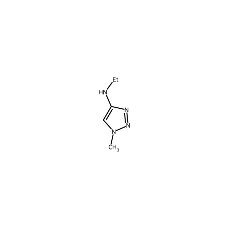 CCNc1cn(C)nn1